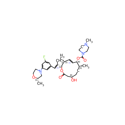 C/C(=C\c1cc(F)cc(N2CCO[C@@H](C)C2)c1)[C@H]1OC(=O)C[C@H](O)CC[C@H](C)[C@@H](OC(=O)N2CCN(C)CC2)/C=C/[C@@H]1C